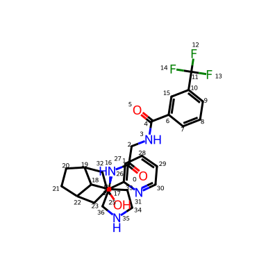 O=C(CNC(=O)c1cccc(C(F)(F)F)c1)N[C@@]1(C2C3CCC2CC(O)(c2ccccn2)C3)CCNC1